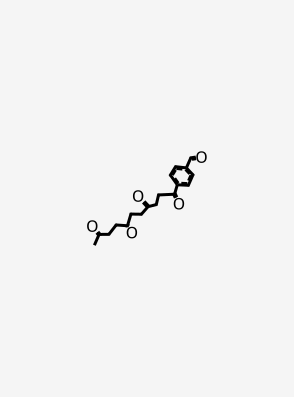 CC(=O)CCC(=O)CCC(=O)CCC(=O)c1ccc(C=O)cc1